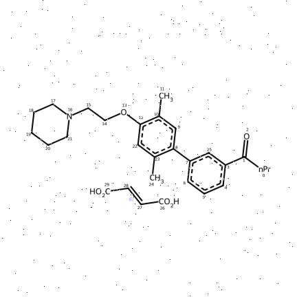 CCCC(=O)c1cccc(-c2cc(C)c(OCCN3CCCCC3)cc2C)c1.O=C(O)/C=C/C(=O)O